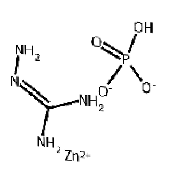 NN=C(N)N.O=P([O-])([O-])O.[Zn+2]